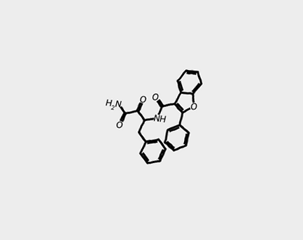 NC(=O)C(=O)C(Cc1ccccc1)NC(=O)c1c(-c2ccccc2)oc2ccccc12